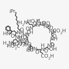 CCC(C)C1NC(=O)C(CCC(=O)O)NC(=O)C(CO)NC(=O)CNC(=O)C(CC(=O)O)NC(=O)C(CO)NC(=O)C(CC(=O)O)NC(=O)C(CCCN)NC(=O)CNC(=O)C(NC(=O)C(CC(=O)O)NC(=O)C(CC(N)=O)NC(=O)C(Cc2c[nH]c3ccccc23)NC(=O)CCCCCCCCC(C)C)C(C)OC1=O